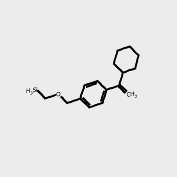 C=C(c1ccc(COC[SiH3])cc1)C1CCCCC1